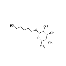 CC1O[C@@H](OCCCCCS)[C@@H](O)C(O)[C@@H]1O